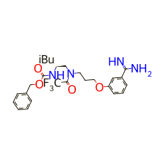 CC[C@H](C)[C@@H](CN(CCCOc1cccc(C(=N)N)c1)C(=O)C(F)(F)F)NC(=O)OCc1ccccc1